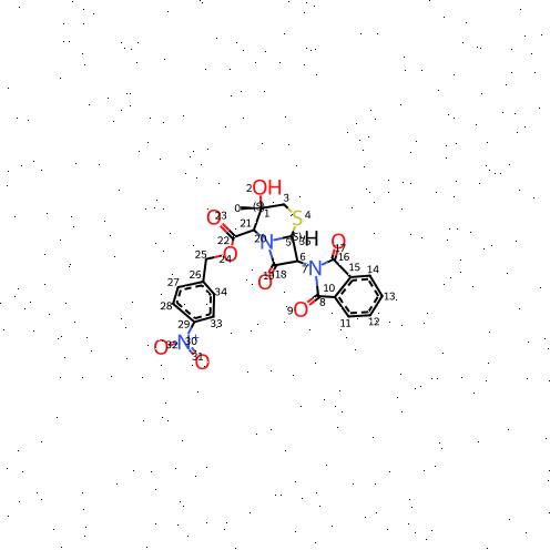 C[C@@]1(O)CS[C@H]2C(N3C(=O)c4ccccc4C3=O)C(=O)N2C1C(=O)OCc1ccc([N+](=O)[O-])cc1